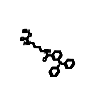 CC(C)(C)OC(=O)NCCCCNC(=O)c1cccc(P(c2ccccc2)c2ccccc2)c1